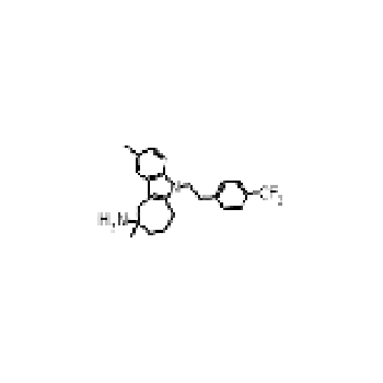 Cc1ccc2c(c1)c1c(n2CCc2ccc(C(F)(F)F)cc2)CCCC(C)(N)C1